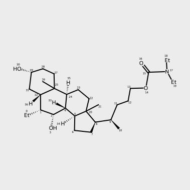 CC[C@H]1[C@@H](O)[C@H]2[C@@H]3CC[C@H]([C@H](C)CCCOC(=O)N(CC)CC)C3(C)CC[C@@H]2C2(C)CC[C@@H](O)C[C@@H]12